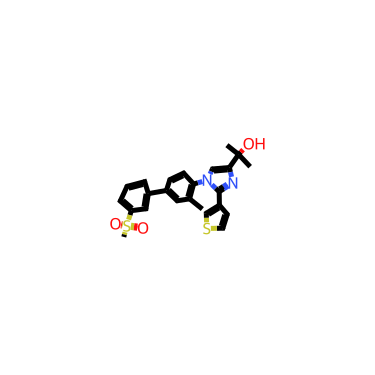 Cc1cc(-c2cccc(S(C)(=O)=O)c2)ccc1-n1cc(C(C)(C)O)nc1-c1ccsc1